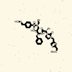 COCc1nc(CN2CCN([C@H](C(=O)N[C@@H](Cc3ccccc3)[C@@H](O)CN(CC(C)C)S(=O)(=O)c3ccc(C=NO)cc3)C(C)C)C2=O)cs1